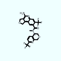 CN(C(=O)c1cc2c3c(c(N)nc2cc1C(F)(F)F)COC3)[C@@H]1COCc2nc(C(F)(F)F)ccc21